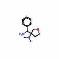 CN(C)C1(C(N)c2ccccc2)CCOC1